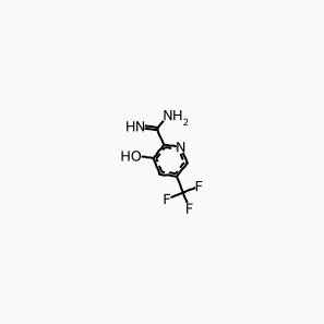 N=C(N)c1ncc(C(F)(F)F)cc1O